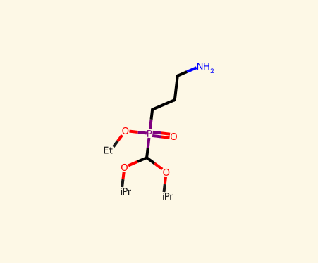 CCOP(=O)(CCCN)C(OC(C)C)OC(C)C